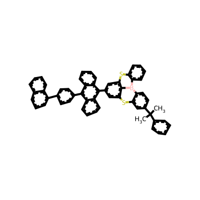 CC(C)(c1ccccc1)c1ccc2c(c1)Sc1cc(-c3c4ccccc4c(-c4ccc(-c5cccc6ccccc56)cc4)c4ccccc34)cc3c1B2c1ccccc1S3